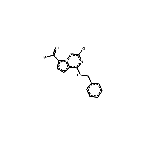 C=C(C)c1ccc2c(NCc3ccccc3)nc(Cl)nn12